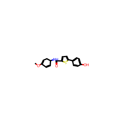 COC1=CCC(NC(=O)c2ccc(-c3ccc(O)cc3)s2)C=C1